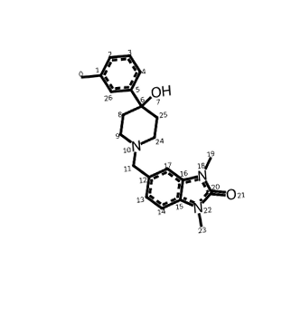 Cc1cccc(C2(O)CCN(Cc3ccc4c(c3)n(C)c(=O)n4C)CC2)c1